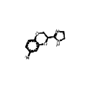 [2H]c1ccc2c(c1)OC(C1=NCCN1)CO2